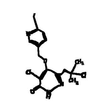 CC(C)(Cl)Cc1n[nH]c(=O)c(Cl)c1OCc1ccc(I)nc1